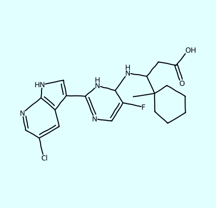 CC1(C(CC(=O)O)NC2NC(c3c[nH]c4ncc(Cl)cc34)=NC=C2F)CCCCC1